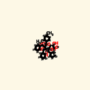 Cc1ccc(C2(O)O[C@H](C(O)C=O)[C@](O)(Cc3ccccc3)[C@@](O)(Cc3ccccc3)[C@@]2(O)Cc2ccccc2)c(C)c1